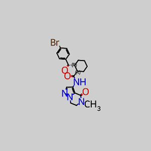 CN1CCn2ncc(NC(=O)[C@@H]3CCCC[C@H]3C(=O)c3ccc(Br)cc3)c2C1=O